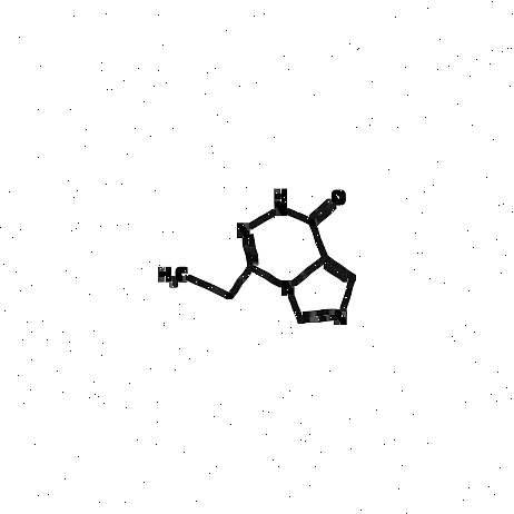 CCc1n[nH]c(=O)c2cncn12